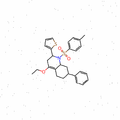 CCOC1=C2CCC(c3ccccc3)CC2N(S(=O)(=O)c2ccc(C)cc2)C(c2cccs2)C1